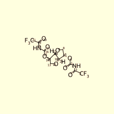 O=C(NC(=O)C(F)(F)F)O[C@H]1CO[C@H]2[C@@H]1OC[C@H]2OC(=O)NC(=O)C(F)(F)F